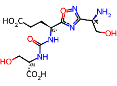 N[C@@H](CO)c1noc([C@H](CCC(=O)O)NC(=O)N[C@@H](CO)C(=O)O)n1